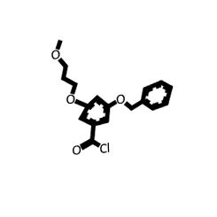 COCCCOc1cc(OCc2ccccc2)cc(C(=O)Cl)c1